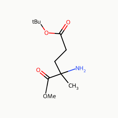 COC(=O)C(C)(N)CCC(=O)OC(C)(C)C